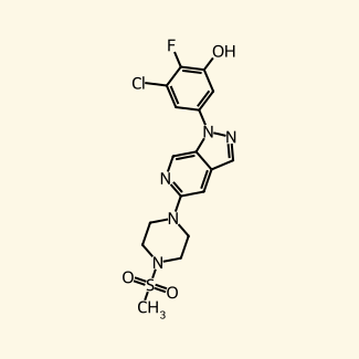 CS(=O)(=O)N1CCN(c2cc3cnn(-c4cc(O)c(F)c(Cl)c4)c3cn2)CC1